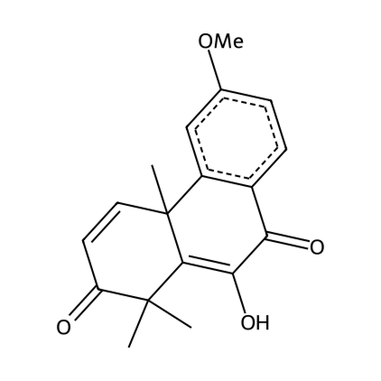 COc1ccc2c(c1)C1(C)C=CC(=O)C(C)(C)C1=C(O)C2=O